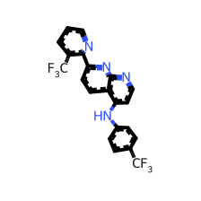 FC(F)(F)c1ccc(Nc2ccnc3nc(-c4ncccc4C(F)(F)F)ccc23)cc1